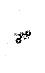 Brc1nc2n(c1-c1ccccc1)COc1ccncc1-2